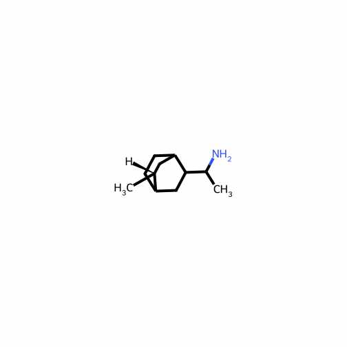 CC(N)C1CC2CCC1C[C@H]2C